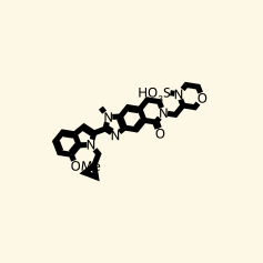 COc1cccc2cc(-c3nc4cc5c(cc4n3C)CCN(CC3COCCN3S(=O)(=O)O)C5=O)n(CC3CC3)c12